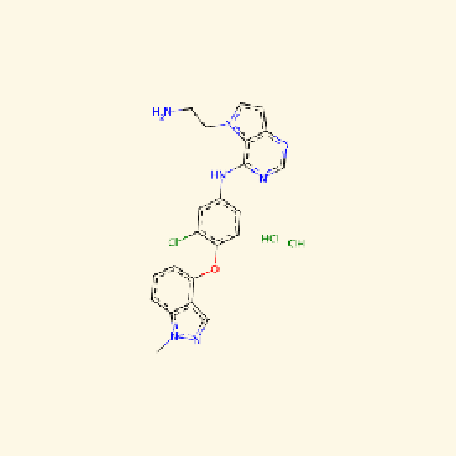 Cl.Cl.Cn1ncc2c(Oc3ccc(Nc4ncnc5ccn(CCN)c45)cc3Cl)cccc21